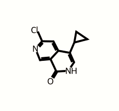 O=c1[nH]cc(C2CC2)c2cc(Cl)ncc12